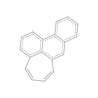 [c]1ccc2c3c(cc4ccccc4c13)C=CC=C2